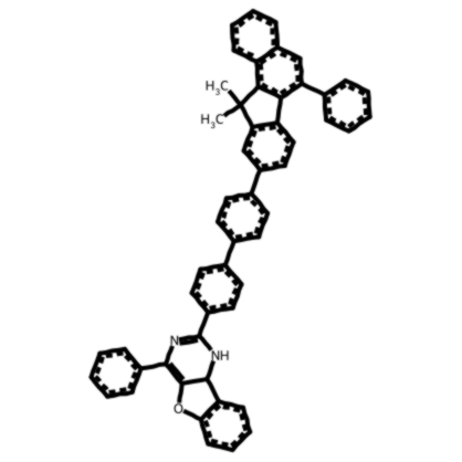 CC1(C)c2cc(-c3ccc(-c4ccc(C5=NC(c6ccccc6)=C6Oc7ccccc7C6N5)cc4)cc3)ccc2-c2c(-c3ccccc3)cc3ccccc3c21